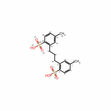 Cc1ccc(S(=O)(=O)O)c(CCCc2cc(C)ccc2S(=O)(=O)O)c1